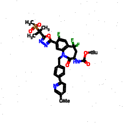 COc1ccc(-c2ccc(CN3C(=O)C(NC(=O)OC(C)(C)C)CC(F)(F)c4cc(F)c(-c5nnc(C(C)(C)S(C)(=O)=O)o5)cc43)cc2)nc1